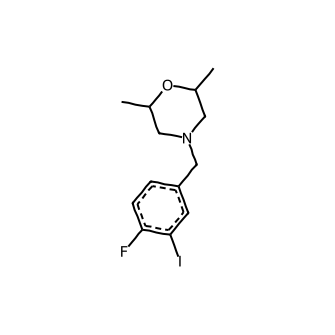 CC1CN(Cc2ccc(F)c(I)c2)CC(C)O1